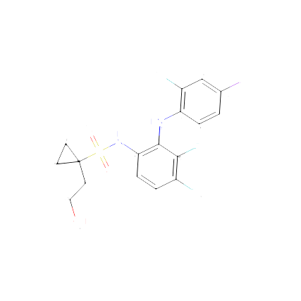 O=S(=O)(Nc1ccc(F)c(F)c1Nc1ccc(I)cc1F)C1(CCO)CC1